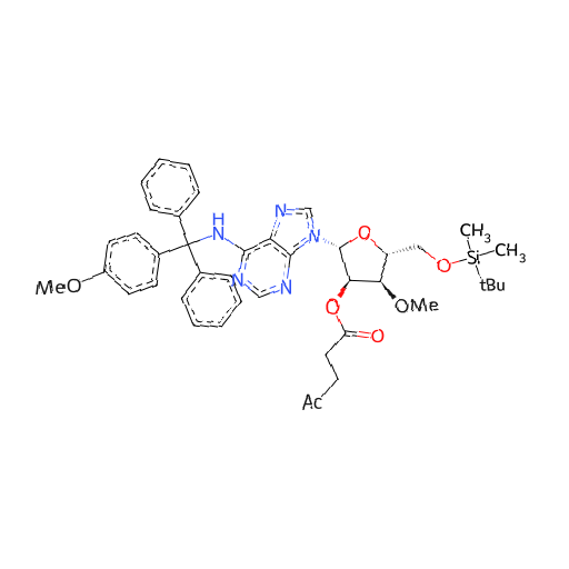 COc1ccc(C(Nc2ncnc3c2ncn3[C@@H]2O[C@H](CO[Si](C)(C)C(C)(C)C)[C@@H](OC)[C@H]2OC(=O)CCC(C)=O)(c2ccccc2)c2ccccc2)cc1